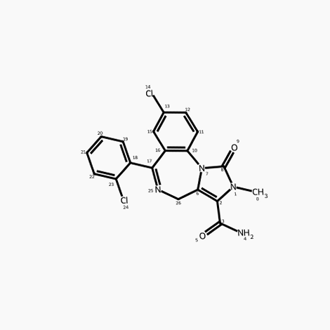 Cn1c(C(N)=O)c2n(c1=O)-c1ccc(Cl)cc1C(c1ccccc1Cl)=NC2